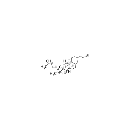 CC(C)CCC[C@@H](C)[C@H]1CC[C@H]2[C@@H]3CCC4CC(CCBr)CC[C@]4(C)[C@H]3CC[C@]12C